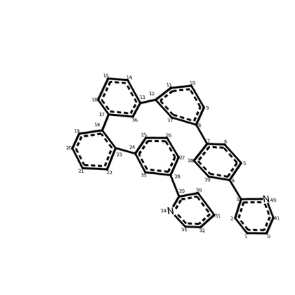 c1ccc(-c2ccc(-c3cccc(-c4cccc(-c5ccccc5-c5cccc(-c6ccccn6)c5)c4)c3)cc2)nc1